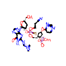 CN(C)/C=N/c1nc2c(ncn2[C@@H]2O[C@H](CO)C[C@@H]2OP(=S)(OCCC#N)OC[C@H]2C[C@@H](Oc3ccncn3)C[C@@H]2O[PH](=O)O)c(=O)[nH]1